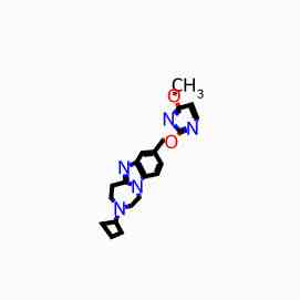 COc1ccnc(OCc2ccc3c(c2)nc2n3CCN(C3CCC3)CC2)n1